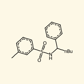 CCCCC(NS(=O)(=O)c1cccc(C)c1)c1ccccc1